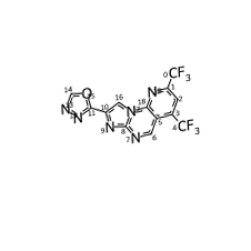 FC(F)(F)c1cc(C(F)(F)F)c2cnc3nc(-c4nnco4)cn3c2n1